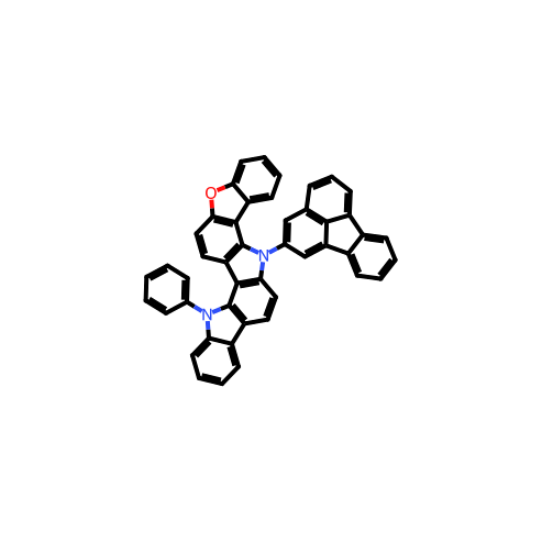 c1ccc(-n2c3ccccc3c3ccc4c(c5ccc6oc7ccccc7c6c5n4-c4cc5c6c(cccc6c4)-c4ccccc4-5)c32)cc1